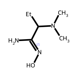 CCC(/C(N)=N/O)N(C)C